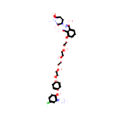 Nc1cc(Cl)ccc1Oc1ccc(OCCOCCOCCOCCOc2cccc3c2C(=O)N(C2CCC(=O)NC2=O)C3=O)cc1